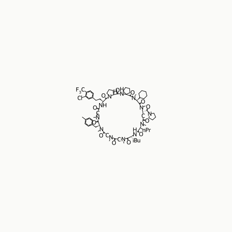 CCC[C@H]1C(=O)N[C@@H]([C@@H](C)CC)C(=O)N(C)CC(=O)N(C)CC(=O)N(C)[C@@H](Cc2ccc(C)cc2)C(=O)N(C)CC(=O)N[C@@H](CCc2ccc(C(F)(F)F)c(Cl)c2)C(=O)N2CCC[C@H]2C(=O)NC2(CCCC2)C(=O)N(C)[C@@H](C2CCCCC2)C(=O)N(C)[C@H](C(=O)N2CCCC2)CC(=O)N1C